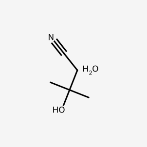 CC(C)(O)CC#N.O